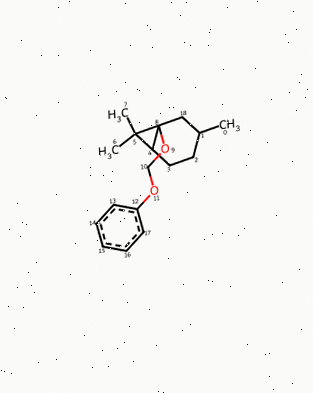 CC1CCC2C(C)(C)C2(OCOc2c[c]ccc2)C1